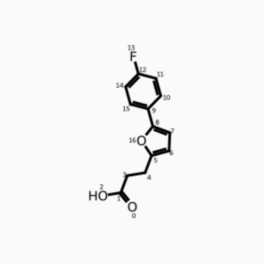 O=C(O)CCc1ccc(-c2ccc(F)cc2)o1